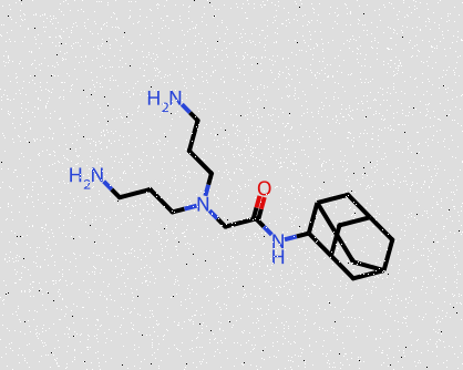 NCCCN(CCCN)CC(=O)NC1C2CC3CC(C2)CC1C3